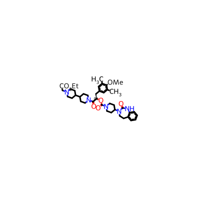 CCOC(=O)CN1CCC(C2CCN(C(=O)[C@@H](Cc3cc(C)c(OC)c(C)c3)OC(=O)N3CCC(N4CCc5ccccc5NC4=O)CC3)CC2)CC1